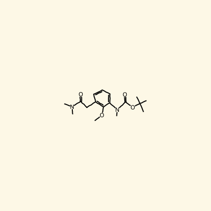 COc1c(CC(=O)N(C)C)cccc1N(C)C(=O)OC(C)(C)C